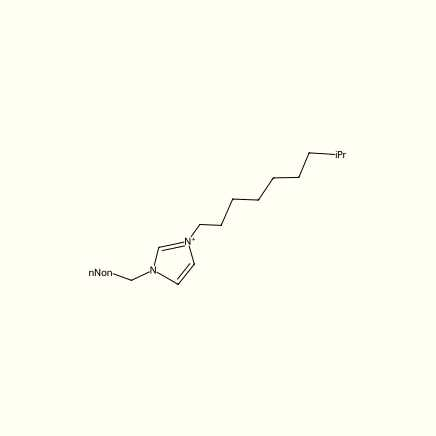 CCCCCCCCCCn1cc[n+](CCCCCCCC(C)C)c1